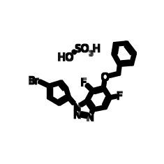 Fc1cc2nnn(-c3ccc(Br)cc3)c2c(F)c1OCc1ccccc1.O=S(=O)(O)O